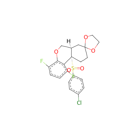 O=S(=O)(c1ccc(Cl)cc1)[C@@]12CCC3(C[C@@H]1COc1c(F)ccc(F)c12)OCCO3